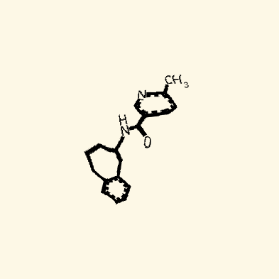 Cc1ccc(C(=O)NC2CCCc3ccccc3C2)cn1